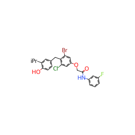 CC(C)c1cc(Cc2c(Cl)cc(OCC(=O)Nc3cccc(F)c3)cc2Br)ccc1O